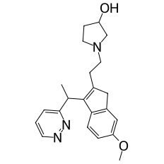 COc1ccc2c(c1)CC(CCN1CCC(O)C1)=C2C(C)c1cccnn1